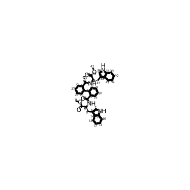 COC(=O)[C@H](Cc1c[nH]c2ccccc12)NC(=O)c1ccccc1-c1ccccc1C(=S)N[C@@H](Cc1c[nH]c2ccccc12)C(=O)OC